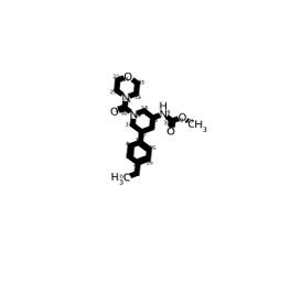 CCc1ccc(C2CC(NC(=O)OC)CN(C(=O)N3CCOCC3)C2)cc1